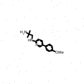 COc1ccc(-c2ccc(NCC(C)(C)N)nc2)cc1